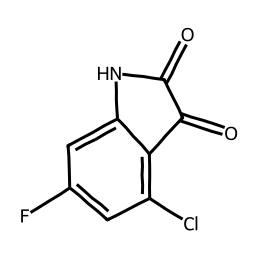 O=C1Nc2cc(F)cc(Cl)c2C1=O